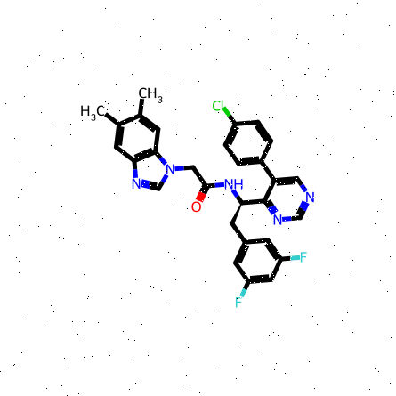 Cc1cc2ncn(CC(=O)N[C@H](Cc3cc(F)cc(F)c3)c3ncncc3-c3ccc(Cl)cc3)c2cc1C